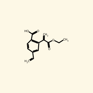 C=Cc1ccc(C(=O)O)c(C(=C)C(=O)OCC)c1